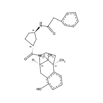 CC1(C)[C@H]2Cc3c(O)cccc3[C@]1(C)CCN2C(=O)[C@@H]1CC[C@@H](NC(=O)Cc2ccccc2)C1